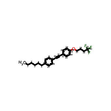 CCCCCCc1ccc(C#Cc2ccc(OCCCC(F)(F)F)cc2)cc1